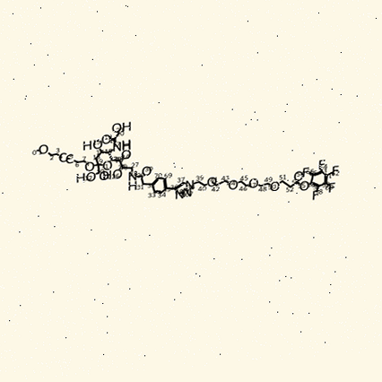 COCCCCCCOC1(C(=O)O)CC(O)C(NC(=O)CO)C([C@H](O)[C@H](O)CNC(=O)Cc2ccc(-c3cn(CCOCCOCCOCCOCCC(=O)Oc4c(F)c(F)c(F)c(F)c4F)nn3)cc2)O1